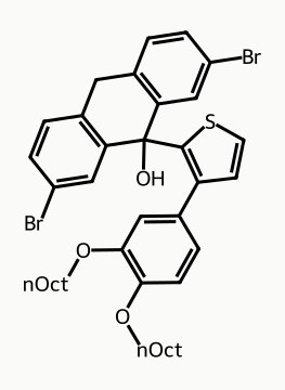 CCCCCCCCOc1ccc(-c2ccsc2C2(O)c3cc(Br)ccc3Cc3ccc(Br)cc32)cc1OCCCCCCCC